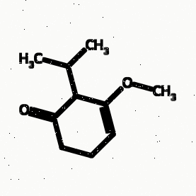 COC1=CCCC(=O)C1C(C)C